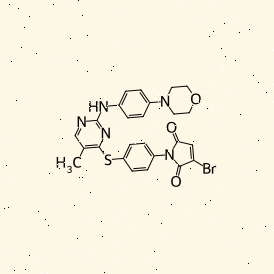 Cc1cnc(Nc2ccc(N3CCOCC3)cc2)nc1Sc1ccc(N2C(=O)C=C(Br)C2=O)cc1